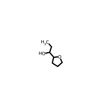 CCC(O)C1CCCO1